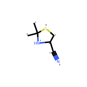 CC1(C)NC(C#N)CS1